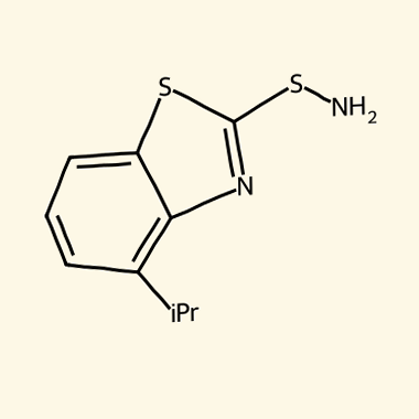 CC(C)c1cccc2sc(SN)nc12